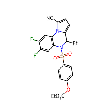 CCOC(=O)Oc1ccc(S(=O)(=O)N2c3cc(F)c(F)cc3-n3c(C#N)ccc3C2CC)cc1